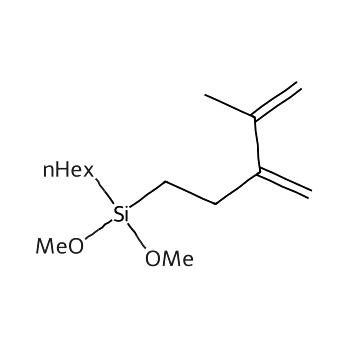 C=C(C)C(=C)CC[Si](CCCCCC)(OC)OC